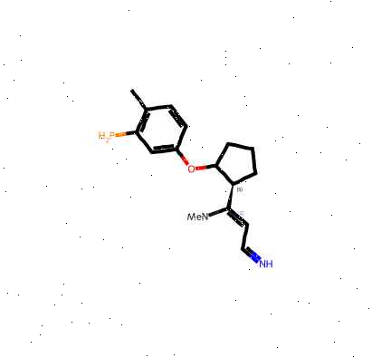 CN/C(=C\C=N)[C@@H]1CCCC1Oc1ccc(C)c(P)c1